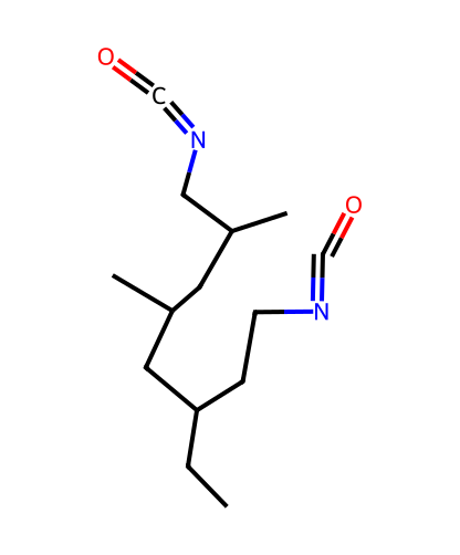 CCC(CCN=C=O)CC(C)CC(C)CN=C=O